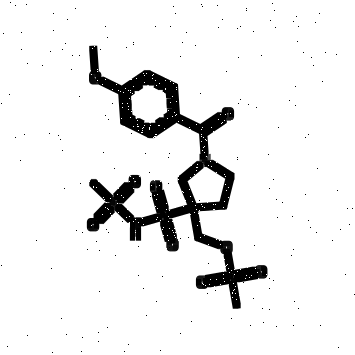 COc1ccc(C(=O)N2CCC(COS(C)(=O)=O)(S(=O)(=O)NS(C)(=O)=O)C2)cc1